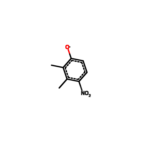 Cc1c([O])ccc([N+](=O)[O-])c1C